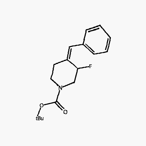 CC(C)(C)OC(=O)N1CC/C(=C/c2ccccc2)C(F)C1